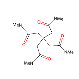 CNC(=O)CC(CC(=O)NC)(CC(=O)NC)CC(=O)NC